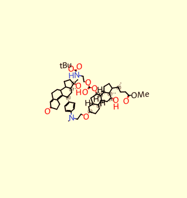 COC(=O)CC[C@@H](C)C1CC[C@H]2[C@@H]3[C@H](OC(=O)OCCNC(=O)OC(C)(C)C)C[C@@H]4C[C@@H](OCCN(C)c5ccc([C@H]6C[C@@]7(C)C(CC[C@]7(C)O)C7CCC8=CC(=O)CCC8=C76)cc5)CC[C@]4(C)[C@H]3C[C@H](O)[C@]12C